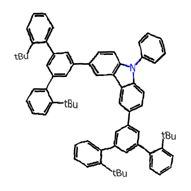 CC(C)(C)c1ccccc1-c1cc(-c2ccc3c(c2)c2cc(-c4cc(-c5ccccc5C(C)(C)C)cc(-c5ccccc5C(C)(C)C)c4)ccc2n3-c2ccccc2)cc(-c2ccccc2C(C)(C)C)c1